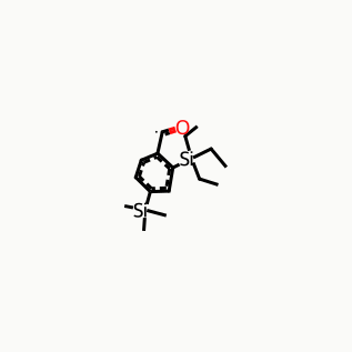 CC[Si](CC)(CC)c1cc([Si](C)(C)C)ccc1[C]=O